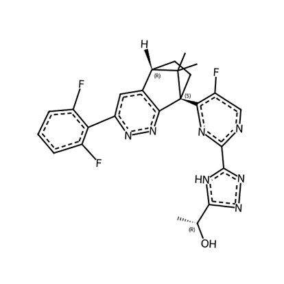 C[C@@H](O)c1nnc(-c2ncc(F)c([C@@]34CC[C@@H](c5cc(-c6c(F)cccc6F)nnc53)C4(C)C)n2)[nH]1